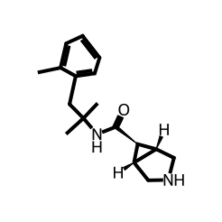 Cc1ccccc1CC(C)(C)NC(=O)[C@H]1[C@@H]2CNC[C@@H]21